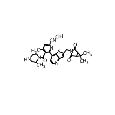 Cc1cc(C#N)nc(-c2ccnc3cc(CN4C(=O)C5C(C4=O)C5(C)C)sc23)c1C(=O)N1CCNCC1C.Cl